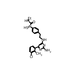 CCNC(=O)N(S)c1ccc(CCNc2cc(-c3cccc(Cl)c3C)nc(N)n2)cc1